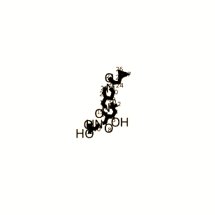 CC1(C)CC(O)=C(C(=O)NCC(=O)O)C(=O)N1CC1CCN(C(=O)CC2CC2)CC1